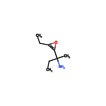 CCC1=C(C(C)(N)CC)O1